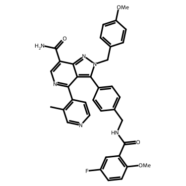 COc1ccc(Cn2nc3c(C(N)=O)cnc(-c4ccncc4C)c3c2-c2ccc(CNC(=O)c3cc(F)ccc3OC)cc2)cc1